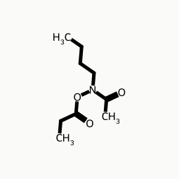 CCCCN(OC(=O)CC)C(C)=O